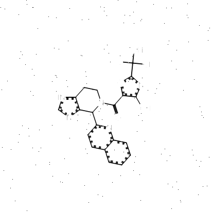 Cc1nc(C(C)(C)O)oc1C(=O)N1CCc2[nH]cnc2C1c1ccc2ccccc2n1